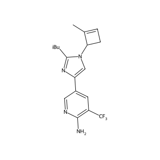 CCC(C)c1nc(-c2cnc(N)c(C(F)(F)F)c2)cn1C1CC=C1C